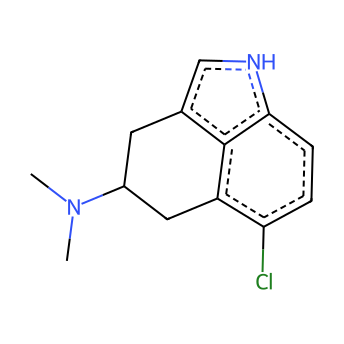 CN(C)C1Cc2c[nH]c3ccc(Cl)c(c23)C1